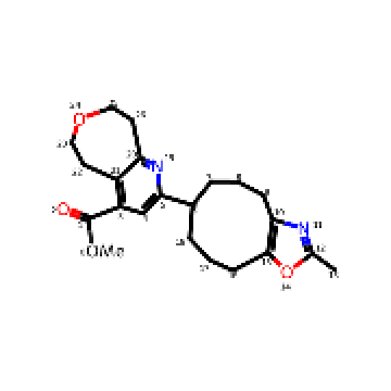 COC(=O)c1cc(C2CCCc3nc(C)oc3CCC2)nc2c1CCOCC2